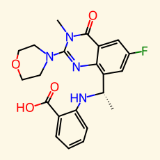 C[C@H](Nc1ccccc1C(=O)O)c1cc(F)cc2c(=O)n(C)c(N3CCOCC3)nc12